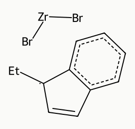 CC[C]1C=Cc2ccccc21.[Br][Zr][Br]